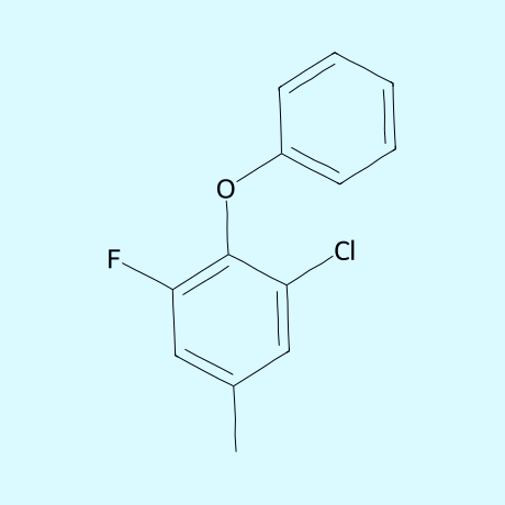 Cc1cc(F)c(Oc2ccccc2)c(Cl)c1